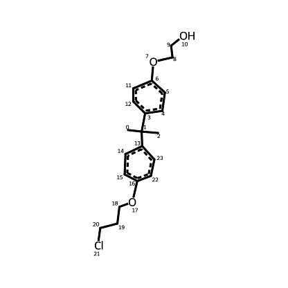 CC(C)(c1ccc(OCCO)cc1)c1ccc(OCCCCl)cc1